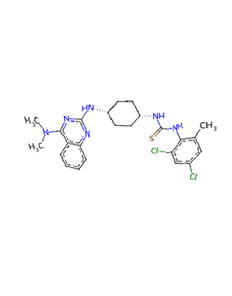 Cc1cc(Cl)cc(Cl)c1NC(=S)N[C@H]1CC[C@@H](Nc2nc(N(C)C)c3ccccc3n2)CC1